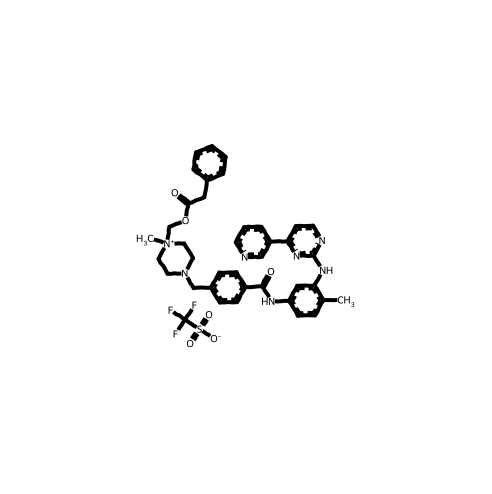 Cc1ccc(NC(=O)c2ccc(CN3CC[N+](C)(COC(=O)Cc4ccccc4)CC3)cc2)cc1Nc1nccc(-c2cccnc2)n1.O=S(=O)([O-])C(F)(F)F